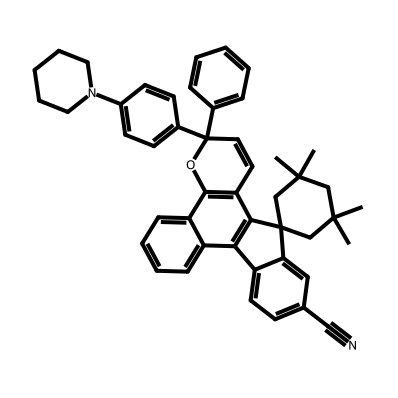 CC1(C)CC(C)(C)CC2(C1)c1cc(C#N)ccc1-c1c2c2c(c3ccccc13)OC(c1ccccc1)(c1ccc(N3CCCCC3)cc1)C=C2